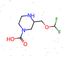 O=C(O)N1CCNC(COC(F)F)C1